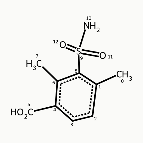 Cc1ccc(C(=O)O)c(C)c1S(N)(=O)=O